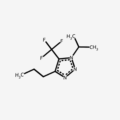 CCCc1nnn(C(C)C)c1C(F)(F)F